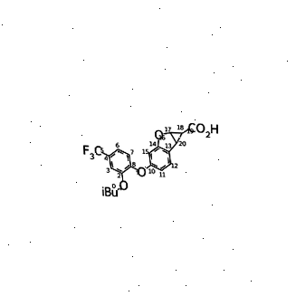 CCC(C)Oc1cc(C(F)(F)F)ccc1Oc1ccc2c(c1)OC1C(C(=O)O)C21